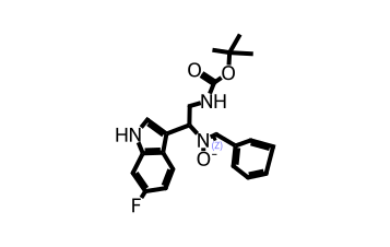 CC(C)(C)OC(=O)NCC(c1c[nH]c2cc(F)ccc12)/[N+]([O-])=C/c1ccccc1